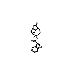 O=C(O[C@H]1CCCC2C(=O)CN3C(CC23)C1)c1c[nH]c2ccccc12